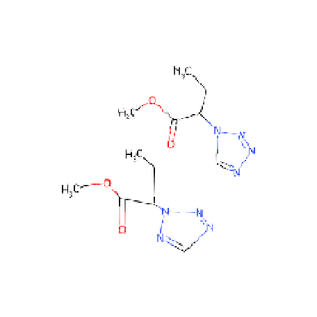 CCC(C(=O)OC)n1cnnn1.CCC(C(=O)OC)n1ncnn1